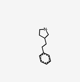 c1ccc(CCC2CC[N]C2)cc1